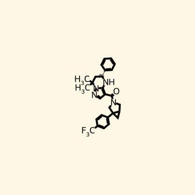 CC1(C)C[C@H](c2ccccc2)Nc2c(C(=O)N3CC4CC4(c4ccc(C(F)(F)F)cc4)C3)cnn21